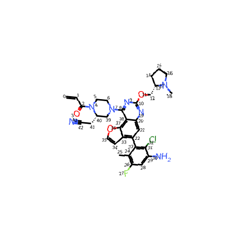 C=CC(=O)N1CCN(c2nc(OC[C@@H]3CCCN3C)nc3cc(-c4c(C)c(F)cc(N)c4Cl)c4ccoc4c23)C[C@@H]1CC#N